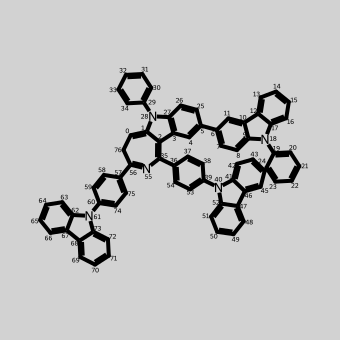 C1=c2c(c3cc(-c4ccc5c(c4)c4ccccc4n5-c4ccccc4)ccc3n2-c2ccccc2)=C(c2ccc(-n3c4ccccc4c4ccccc43)cc2)N=C(c2ccc(-n3c4ccccc4c4ccccc43)cc2)C1